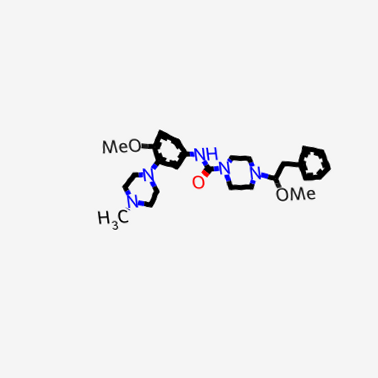 COc1ccc(NC(=O)N2CCN(C(Cc3ccccc3)OC)CC2)cc1N1CCN(C)CC1